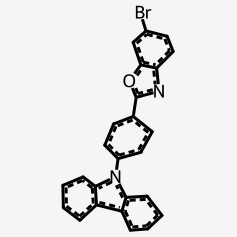 Brc1ccc2nc(-c3ccc(-n4c5ccccc5c5ccccc54)cc3)oc2c1